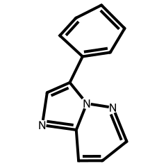 c1ccc(-c2cnc3cccnn23)cc1